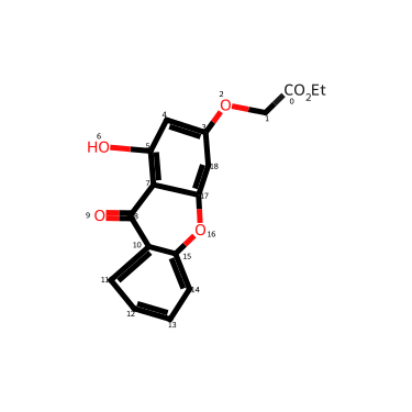 CCOC(=O)COc1cc(O)c2c(=O)c3ccccc3oc2c1